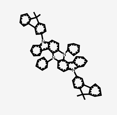 CC1(C)c2ccccc2-c2cc(-n3c4ccccc4c4c5c(ccc43)N(c3ccccc3)c3c(ccc4c3c3ccccc3n4-c3ccc4c(c3)-c3ccccc3C4(C)C)N5c3ccccc3)ccc21